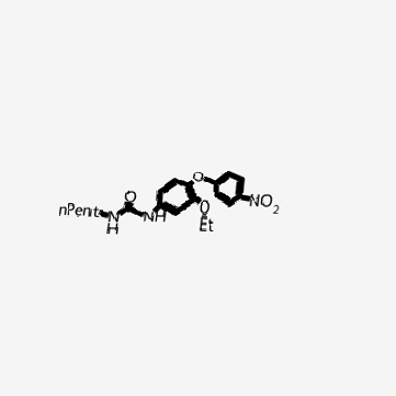 CCCCCNC(=O)Nc1ccc(Oc2ccc([N+](=O)[O-])cc2)c(OCC)c1